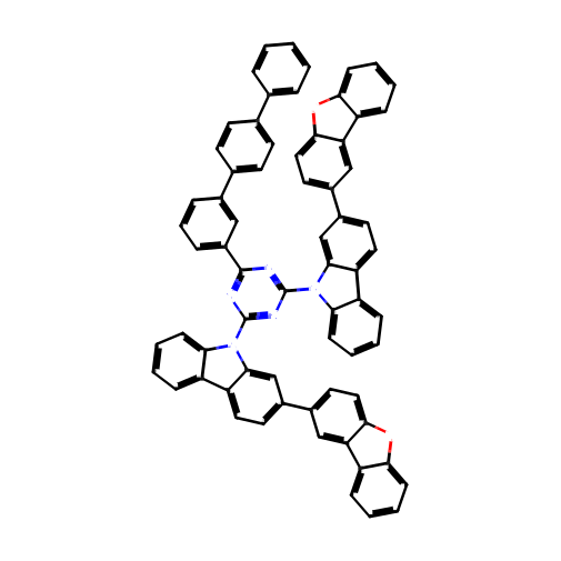 c1ccc(-c2ccc(-c3cccc(-c4nc(-n5c6ccccc6c6ccc(-c7ccc8oc9ccccc9c8c7)cc65)nc(-n5c6ccccc6c6ccc(-c7ccc8oc9ccccc9c8c7)cc65)n4)c3)cc2)cc1